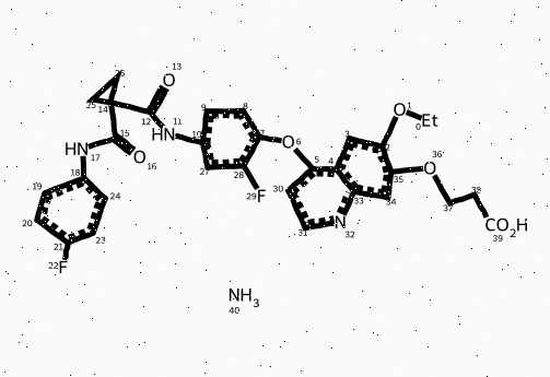 CCOc1cc2c(Oc3ccc(NC(=O)C4(C(=O)Nc5ccc(F)cc5)CC4)cc3F)ccnc2cc1OCCC(=O)O.N